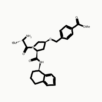 COC(=O)c1ccc(CO[C@H]2C[C@@H](C(=O)N[C@@H]3CCCc4ccccc43)N(C(=O)[C@@H](N)C(C)(C)C)C2)cc1